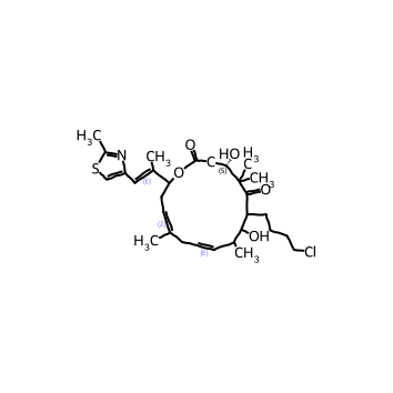 C/C1=C/CC(/C(C)=C/c2csc(C)n2)OC(=O)C[C@H](O)C(C)(C)C(=O)C(CCCCCl)C(O)C(C)/C=C/C1